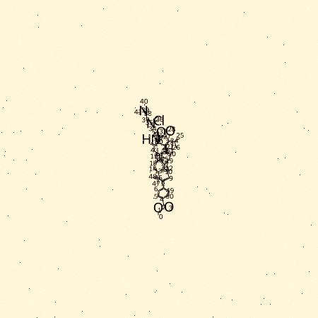 COC(=O)c1ccc(C2=CC[C@@]3(C)C(CC[C@]4(C)C3CC[C@@H]3C5=C(C(C)C)C(=O)C[C@]5(NC(=O)CN(Cl)CCN(C)C)CC[C@]34C)C2(C)C)cc1